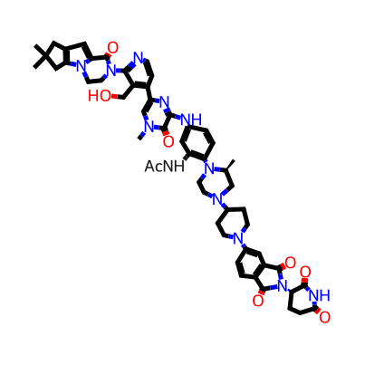 CC(=O)Nc1cc(Nc2nc(-c3ccnc(N4CCn5c(cc6c5CC(C)(C)C6)C4=O)c3CO)cn(C)c2=O)ccc1N1CCN(C2CCN(c3ccc4c(c3)C(=O)N([C@H]3CCC(=O)NC3=O)C4=O)CC2)C[C@@H]1C